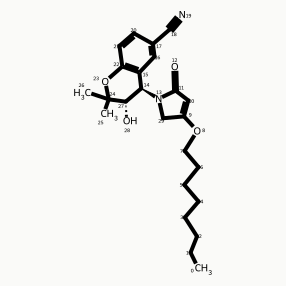 CCCCCCCCOC1=CC(=O)N([C@@H]2c3cc(C#N)ccc3OC(C)(C)[C@H]2O)C1